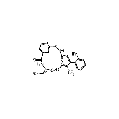 CC(C)C[C@@H]1COc2nc(nc(-c3ccccc3C(C)C)c2C(F)(F)F)NSc2cccc(c2)C(=O)N1